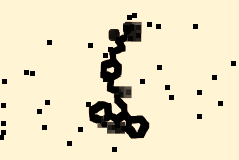 O=C(CCc1ccc(CNCCc2c(-c3ccccn3)[nH]c3ccccc23)cc1)NO